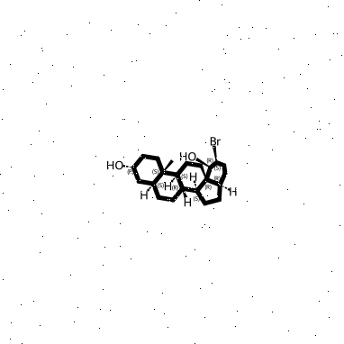 C[C@]12CC[C@@H](O)C[C@@H]1CC[C@@H]1[C@@H]2CC[C@]23[C@@H](CC[C@H](Br)[C@@H]2O)CC[C@@H]13